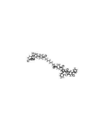 O=C1CCC(Nc2ccc(N3CCN(C(=O)CCCCCCCCC(=O)N4CCN(C(=O)c5cc(NC(=O)c6cc(-c7ccccn7)c(Cl)cc6Cl)n(-c6ccccc6)n5)CC4)CC3)cc2)C(=O)N1